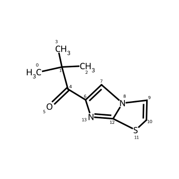 CC(C)(C)C(=O)c1cn2ccsc2n1